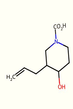 C=CCC1CN(C(=O)O)CCC1O